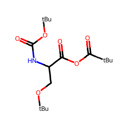 CC(C)(C)OCC(NC(=O)OC(C)(C)C)C(=O)OC(=O)C(C)(C)C